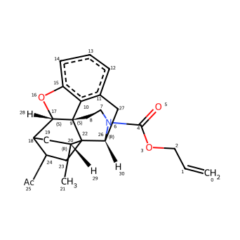 C=CCOC(=O)N1CC[C@]23c4c5cccc4O[C@H]2C2C[C@@H](C)C3(CC2C(C)=O)[C@H]1C5